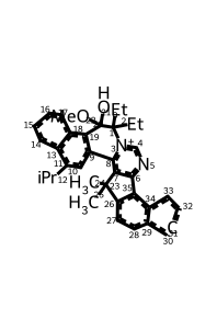 CCC1(CC)[n+]2cnc3c(c2-c2cc(C(C)C)c4ccccc4c2C1(O)OC)C(C)(C)c1ccc2ccccc2c1-3